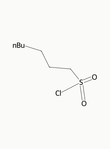 CCCCCCCS(=O)(=O)Cl